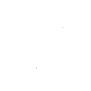 c1cnc(SSCCCSSc2ncccn2)nc1